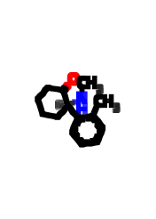 CN[C@]1(c2ccccc2C)CCCCC1=O